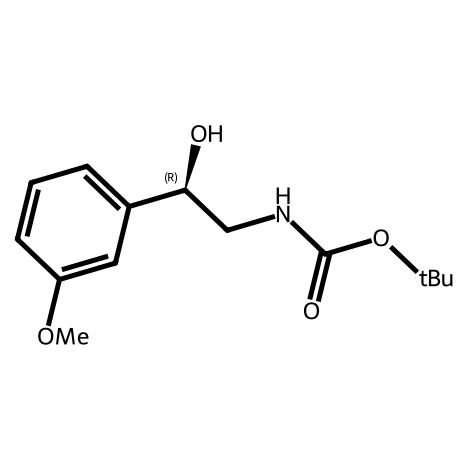 COc1cccc([C@@H](O)CNC(=O)OC(C)(C)C)c1